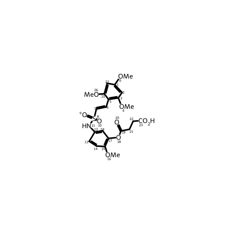 COc1cc(OC)c(/C=C/S(=O)(=O)Nc2ccc(OC)c(OC(=O)CCC(=O)O)c2)c(OC)c1